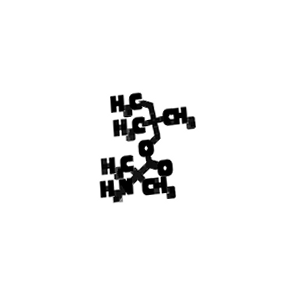 CCC(C)(C)COC(=O)C(C)(C)N